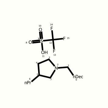 CCCCCCCCCCCN1CCC(CCC)C1.O=S(=O)(O)C(F)(F)F